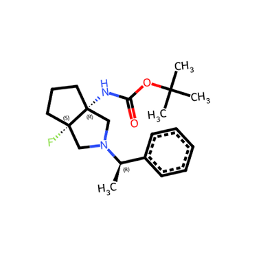 C[C@H](c1ccccc1)N1C[C@@]2(F)CCC[C@@]2(NC(=O)OC(C)(C)C)C1